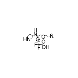 CN(C)CCOCC(=O)N[C@H]1CCNC1.O=C(O)C(F)(F)F